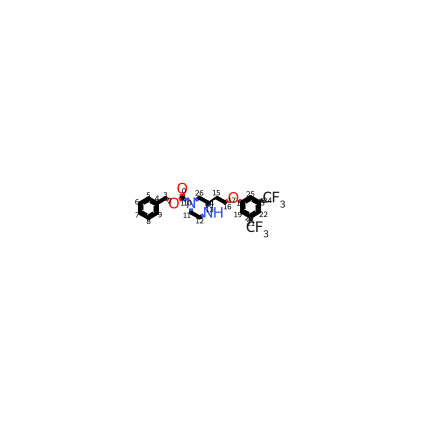 O=C(OCc1ccccc1)N1CCN[C@H](CCOc2cc(C(F)(F)F)cc(C(F)(F)F)c2)C1